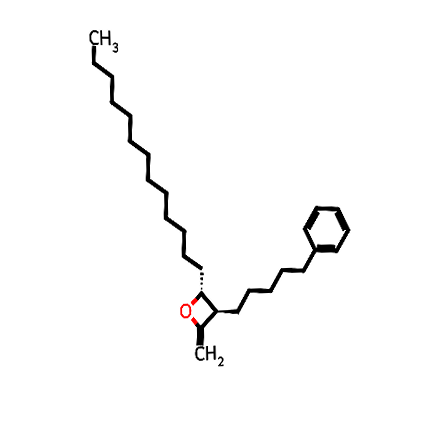 C=C1O[C@H](CCCCCCCCCCCCC)[C@H]1CCCCCc1ccccc1